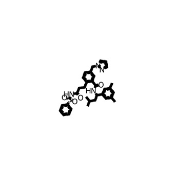 Cc1cc(C)cc(C(CC(C)C)NC(=O)c2cc(Cn3cccn3)ccc2CCC(=O)NS(=O)(=O)c2ccccc2)c1